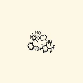 Cc1nnnn1-c1ccccc1CNc1ncc(C(F)(F)F)c(N[C@H]2CC[C@H](O)C(C)(C)C2)n1